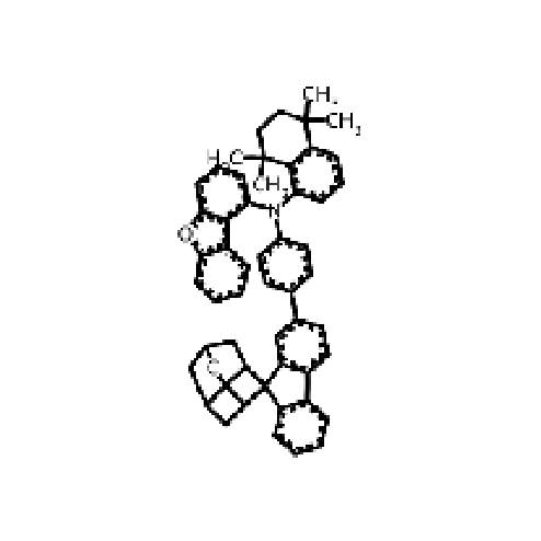 CC1(C)CCC(C)(C)c2c(N(c3ccc(-c4ccc5c(c4)C4(c6ccccc6-5)C5CC6CC7CC4C75C6)cc3)c3cccc4oc5ccccc5c34)cccc21